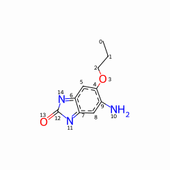 CCCOc1cc2c(cc1N)=NC(=O)N=2